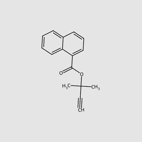 C#CC(C)(C)OC(=O)c1cccc2ccccc12